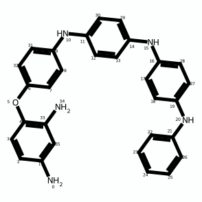 Nc1ccc(Oc2ccc(Nc3ccc(Nc4ccc(Nc5ccccc5)cc4)cc3)cc2)c(N)c1